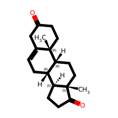 C[C@]12CCC(=O)CC1=CC[C@@H]1[C@H]2CC[C@]2(C)C(=O)CC[C@@H]12